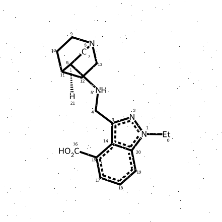 CCn1nc(CN[C@@H]2CN3CCC2CC3)c2c(C(=O)O)cccc21